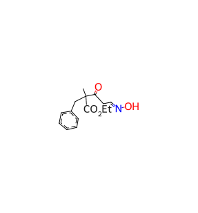 CCOC(=O)C(C)(Cc1ccccc1)C(=O)C/C=N/O